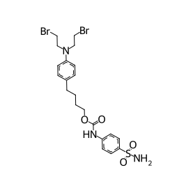 NS(=O)(=O)c1ccc(NC(=O)OCCCCc2ccc(N(CCBr)CCBr)cc2)cc1